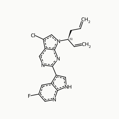 C=CC[C@@H](C=C)n1cc(Cl)c2cnc(-c3c[nH]c4ncc(F)cc34)nc21